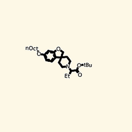 CCCCCCCCOc1ccc2c(c1)OCC21CCN(C(CC)C(=O)OC(C)(C)C)CC1